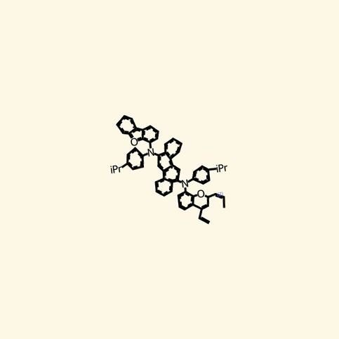 C=CC1=CC(/C=C\C)Oc2c1cccc2N(c1ccc(C(C)C)cc1)c1cc2c3ccccc3c(N(c3ccc(C(C)C)cc3)c3cccc4c3oc3ccccc34)cc2c2ccccc12